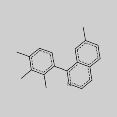 Cc1ccc2ccnc(-c3ccc(C)c(C)c3C)c2c1